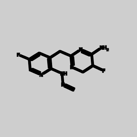 C=NNc1ncc(F)cc1CC1=NCC(F)C(N)=N1